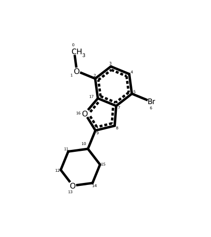 COc1ccc(Br)c2cc(C3CCOCC3)oc12